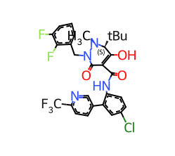 CN1[C@@H](C(C)(C)C)C(O)=C(C(=O)Nc2ccc(Cl)cc2-c2ccc(C(F)(F)F)nc2)C(=O)N1Cc1cccc(F)c1F